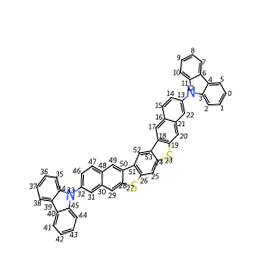 c1ccc2c(c1)c1ccccc1n2-c1ccc2cc3c(cc2c1)sc1cc2sc4cc5cc(-n6c7ccccc7c7ccccc76)ccc5cc4c2cc13